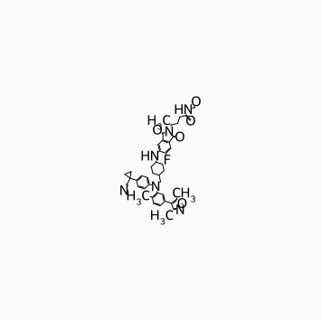 Cc1ccc(-c2c(C)noc2C)cc1N(CC1CCC(Nc2cc3c(cc2F)C(=O)N(C(C)CCC(=O)NC=O)C3=O)CC1)c1ccc(C2(C#N)CC2)cc1